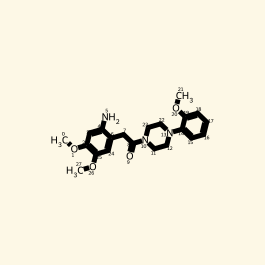 COc1cc(N)c(CC(=O)N2CCN(c3ccccc3OC)CC2)cc1OC